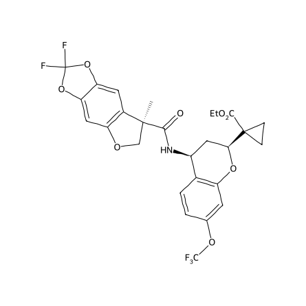 CCOC(=O)C1([C@@H]2C[C@H](NC(=O)[C@@]3(C)COc4cc5c(cc43)OC(F)(F)O5)c3ccc(OC(F)(F)F)cc3O2)CC1